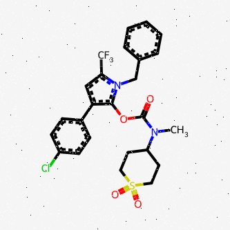 CN(C(=O)Oc1c(-c2ccc(Cl)cc2)cc(C(F)(F)F)n1Cc1ccccc1)C1CCS(=O)(=O)CC1